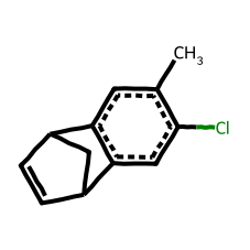 Cc1cc2c(cc1Cl)C1C=CC2C1